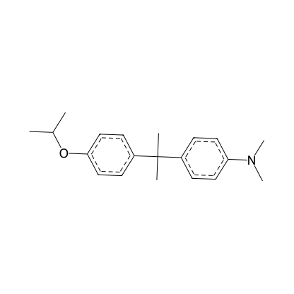 CC(C)Oc1ccc(C(C)(C)c2ccc(N(C)C)cc2)cc1